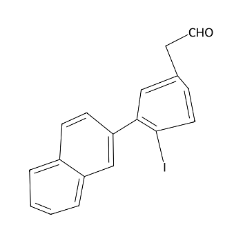 O=CCc1ccc(I)c(-c2ccc3ccccc3c2)c1